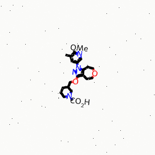 COc1ncc(-n2nc(OCC3CCCN(C(=O)O)C3)c3c2CCOCC3)cc1C